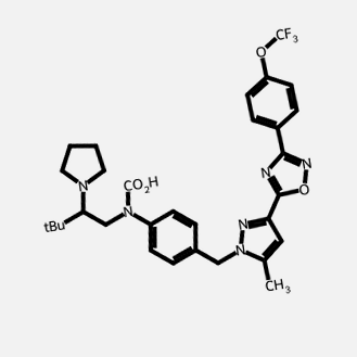 Cc1cc(-c2nc(-c3ccc(OC(F)(F)F)cc3)no2)nn1Cc1ccc(N(CC(N2CCCC2)C(C)(C)C)C(=O)O)cc1